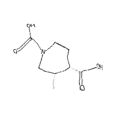 C[C@@H]1CN(C(=O)O)CC[C@@H]1C(=O)O